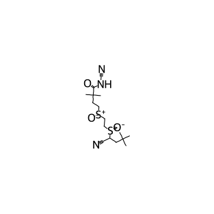 CC(C)(C)CC(C#N)[S+]([O-])CC[S+]([O-])CCC(C)(C)C(=O)NC#N